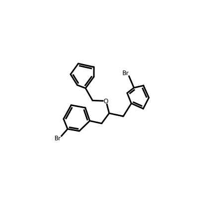 Brc1cccc(CC(Cc2cccc(Br)c2)OCc2ccccc2)c1